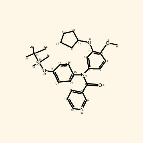 COc1ccc(N(C(=O)c2cccnc2)c2ccc(O[Si](C)(C)C(C)(C)C)cc2)cc1OC1CCCC1